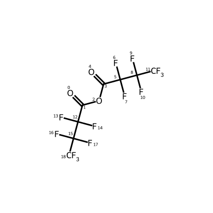 O=C(OC(=O)C(F)(F)C(F)(F)C(F)(F)F)C(F)(F)C(F)(F)C(F)(F)F